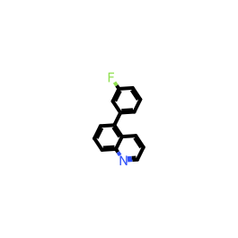 Fc1cccc(-c2cccc3ncccc23)c1